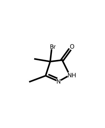 CC1=NNC(=O)C1(C)Br